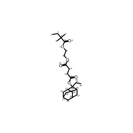 CCC(C)(C)C(=O)OCCOC(=O)CCC(=O)OC1(CC)C2CC3CC(C2)CC1C3